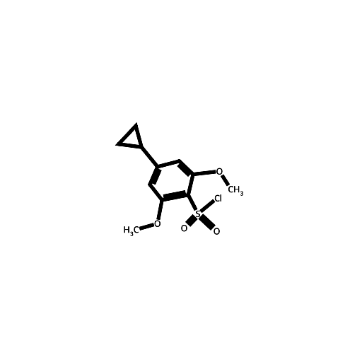 COc1cc(C2CC2)cc(OC)c1S(=O)(=O)Cl